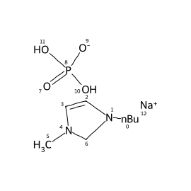 CCCCN1C=CN(C)C1.O=P([O-])(O)O.[Na+]